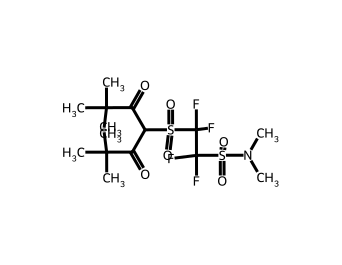 CN(C)S(=O)(=O)C(F)(F)C(F)(F)S(=O)(=O)C(C(=O)C(C)(C)C)C(=O)C(C)(C)C